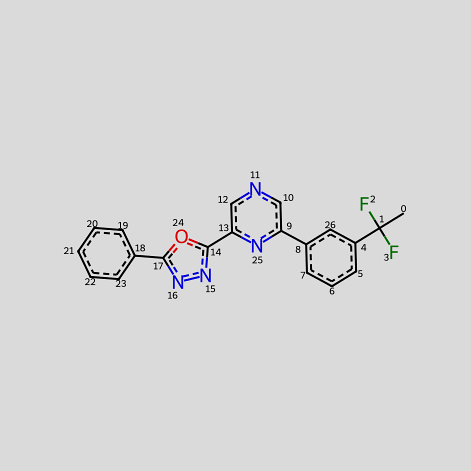 CC(F)(F)c1cccc(-c2cncc(-c3nnc(-c4ccccc4)o3)n2)c1